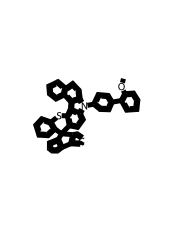 COc1ccccc1-c1ccc(-n2c3ccc4c(c3c3c5ccccc5ccc32)Sc2ccccc2C42c3ccccc3-c3ccccc32)cc1